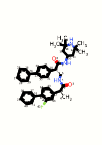 C[C@@H](C(=O)NC[C@@H](C(=O)NC1CC(C)(C)NC(C)(C)C1)c1ccc(-c2ccccc2)cc1)c1ccc(-c2ccccc2)c(F)c1